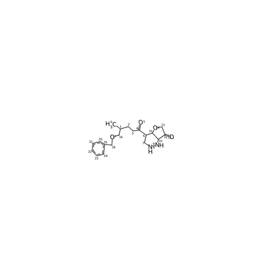 CC(CCC(=O)C1CNNC2C(=O)COC12)COCc1ccccc1